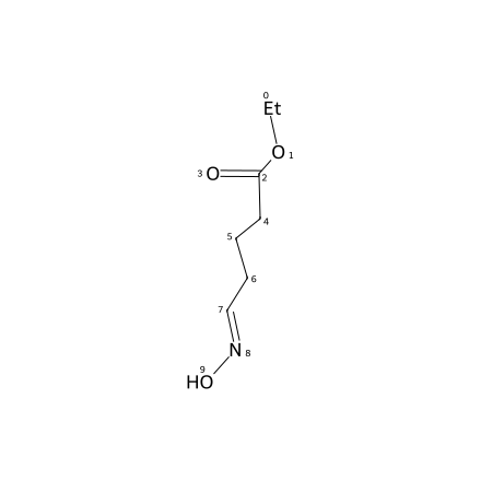 CCOC(=O)CCCC=NO